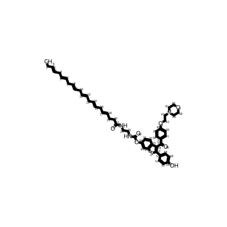 CCC=CCC=CCC=CCC=CCC=CCC=CCCC(=O)NCCNC(=O)Oc1ccc2c(C(=O)c3ccc(OCCN4CCOCC4)cc3)c(-c3ccc(O)cc3)sc2c1